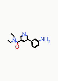 CCN(CC)C(=O)c1cncc(-c2cccc(N)c2)c1